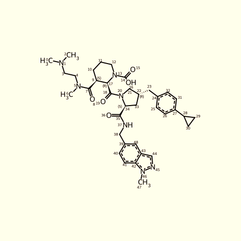 CN(C)CCN(C)C(=O)[C@H]1CCCN(C(=O)O)[C@H]1C(=O)N1C[C@H](Cc2ccc(C3CC3)cc2)C[C@H]1C(=O)NCc1ccc2c(cnn2C)c1